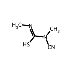 CN=C(S)N(C)C#N